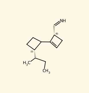 CCC(C)[C@@H]1CCC1C1=CC[C@H]1C=N